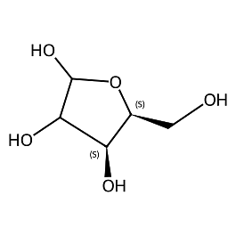 OC[C@@H]1OC(O)C(O)[C@@H]1O